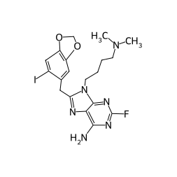 CN(C)CCCCn1c(Cc2cc3c(cc2I)OCO3)nc2c(N)nc(F)nc21